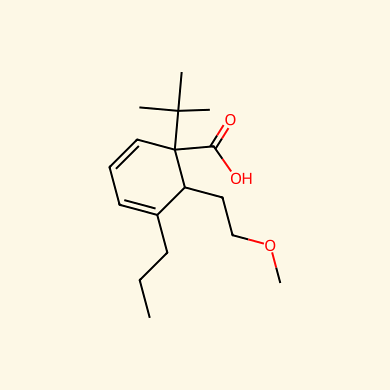 CCCC1=CC=CC(C(=O)O)(C(C)(C)C)C1CCOC